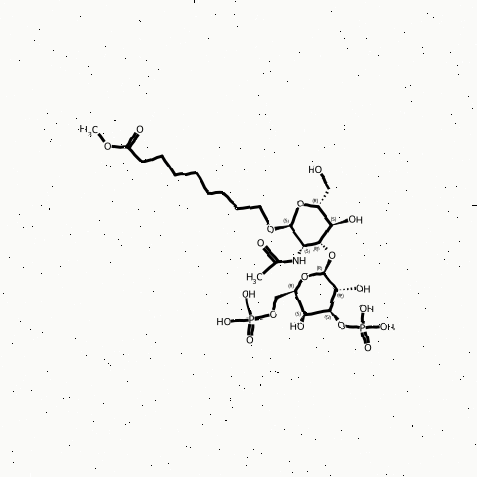 COC(=O)CCCCCCCCO[C@H]1O[C@H](CO)[C@@H](O)[C@H](O[C@@H]2O[C@H](COP(=O)(O)O)[C@H](O)[C@H](OP(=O)(O)O)[C@H]2O)[C@@H]1NC(C)=O